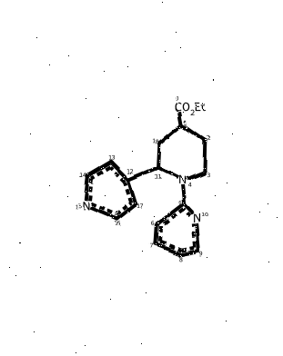 CCOC(=O)C1CCN(c2ccccn2)C(c2ccncc2)C1